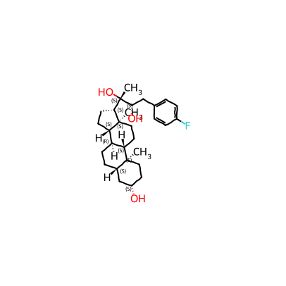 C[C@](O)([C@H]1CC[C@H]2[C@@H]3CC[C@H]4C[C@@H](O)CC[C@]4(C)[C@H]3CC[C@]12C)[C@@H](O)Cc1ccc(F)cc1